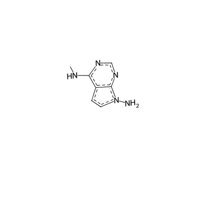 CNc1ncnc2c1ccn2N